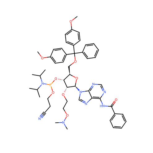 COc1ccc(C(OC[C@H]2O[C@@H](n3cnc4c(NC(=O)c5ccccc5)ncnc43)[C@H](OCCON(C)C)[C@@H]2OP(OCCC#N)N(C(C)C)C(C)C)(c2ccccc2)c2ccc(OC)cc2)cc1